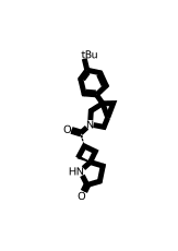 CC(C)(C)c1ccc(C23CC2CN(C(=O)[C@H]2C[C@]4(CCC(=O)N4)C2)C3)cc1